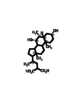 C[C@H]1[C@@H](O)C2C3CCC([C@H](C)CC(C(=O)O)C(=O)O)[C@@]3(C)CCC2[C@@]2(C)CC[C@@H](O)C[C@@H]12